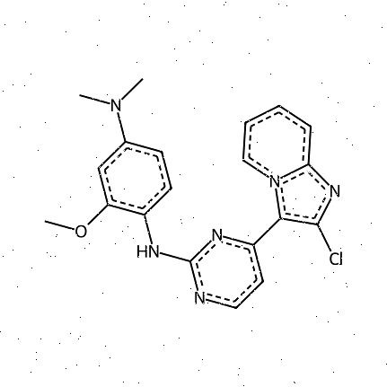 COc1cc(N(C)C)ccc1Nc1nccc(-c2c(Cl)nc3ccccn23)n1